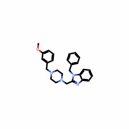 COc1cccc(CN2CCN(Cc3nc4ccccc4n3Cc3ccccc3)CC2)c1